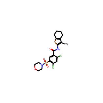 N#Cc1c(NC(=O)c2cc(S(=O)(=O)N3CCOCC3)c(Cl)cc2Cl)sc2c1CCCC2